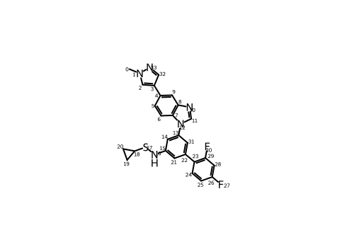 Cn1cc(-c2ccc3c(c2)ncn3-c2cc(NSC3CC3)cc(-c3ccc(F)cc3F)c2)cn1